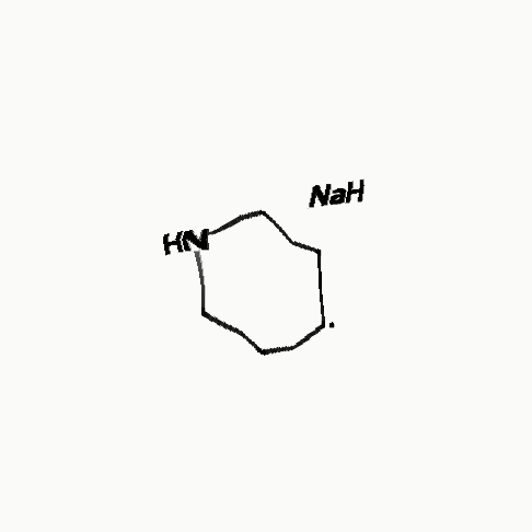 [CH]1CCNCC1.[NaH]